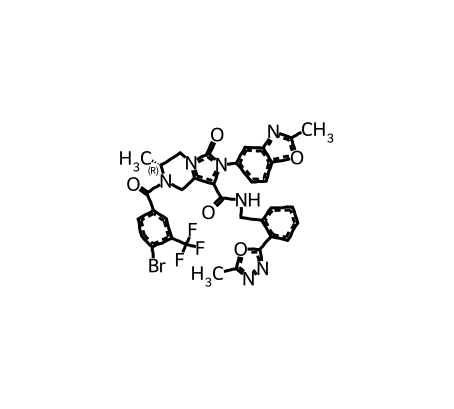 Cc1nnc(-c2ccccc2CNC(=O)c2c3n(c(=O)n2-c2ccc4oc(C)nc4c2)C[C@@H](C)N(C(=O)c2ccc(Br)c(C(F)(F)F)c2)C3)o1